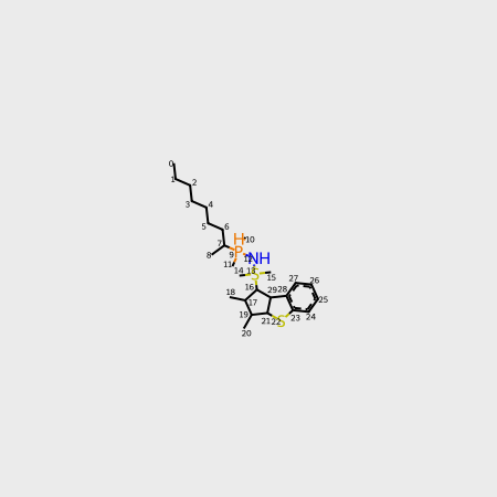 CCCCCCCC(C)[PH](C)(C)NS(C)(C)C1C(C)C(C)C2Sc3ccccc3C21